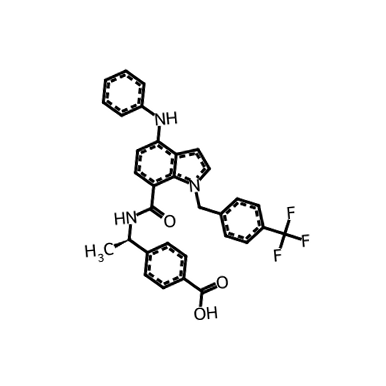 C[C@@H](NC(=O)c1ccc(Nc2ccccc2)c2ccn(Cc3ccc(C(F)(F)F)cc3)c12)c1ccc(C(=O)O)cc1